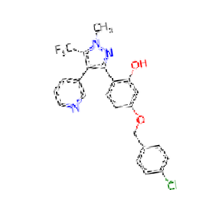 Cn1nc(-c2ccc(OCc3ccc(Cl)cc3)cc2O)c(-c2cccnc2)c1C(F)(F)F